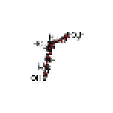 N[C@@H](CCCCNC(=O)COCCOCCNC(=O)CC[C@H](NC(=O)CCCCCCCCCOc1ccc(C(=O)O)cc1)C(=O)O)C(=O)NCCOCCOC[C]=O